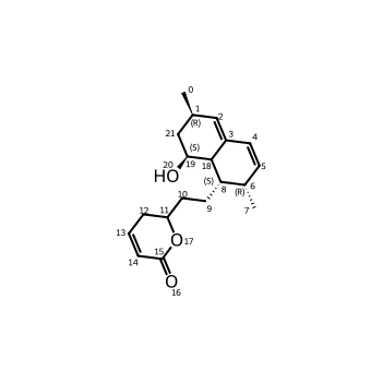 C[C@H]1C=C2C=C[C@H](C)[C@H](CCC3CC=CC(=O)O3)C2[C@@H](O)C1